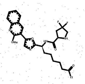 CCC(=O)CCCCC[C@H](NC(=O)C1CC(F)(F)CN1)c1ncc(-c2cc3ccccc3nc2OC)o1